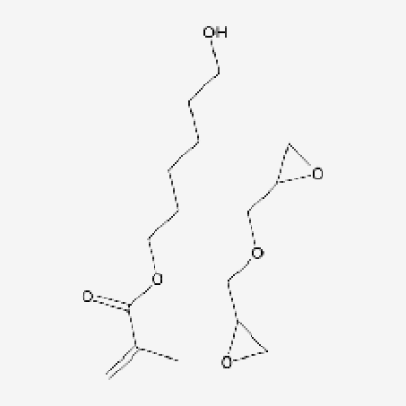 C(OCC1CO1)C1CO1.C=C(C)C(=O)OCCCCCCO